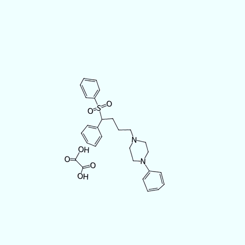 O=C(O)C(=O)O.O=S(=O)(c1ccccc1)C(CCCN1CCN(c2ccccc2)CC1)c1ccccc1